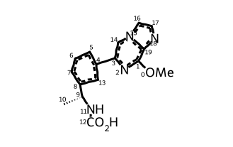 COc1nc(-c2cccc([C@@H](C)NC(=O)O)c2)cn2ccnc12